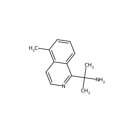 Cc1cccc2c(C(C)(C)N)nccc12